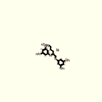 CCCCCCCCCCCCCC(C=Nc1cc(CCC)cc(CCC)c1)=Nc1cc(CCC)cc(CCC)c1.[Ni]